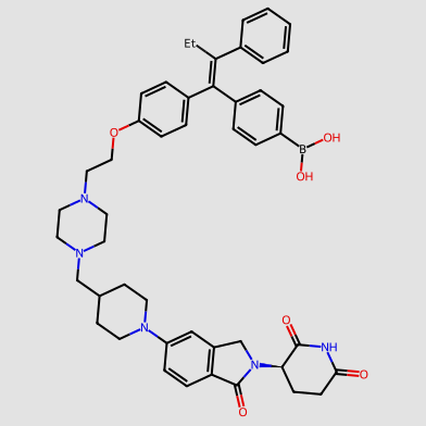 CC/C(=C(\c1ccc(OCCN2CCN(CC3CCN(c4ccc5c(c4)CN([C@@H]4CCC(=O)NC4=O)C5=O)CC3)CC2)cc1)c1ccc(B(O)O)cc1)c1ccccc1